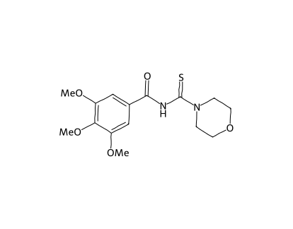 COc1cc(C(=O)NC(=S)N2CCOCC2)cc(OC)c1OC